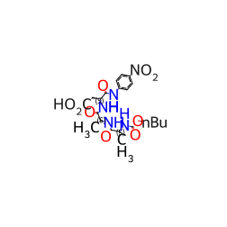 CCCCOC(=O)N[C@@H](C)C(=O)N[C@@H](C)C(=O)N[C@@H](CC(=O)O)C(=O)Nc1ccc([N+](=O)[O-])cc1